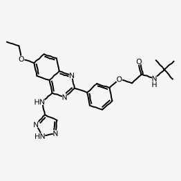 CCOc1ccc2nc(-c3cccc(OCC(=O)NC(C)(C)C)c3)nc(Nc3cn[nH]n3)c2c1